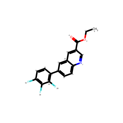 CCOC(=O)c1cnc2ccc(-c3ccc(F)c(F)c3F)cc2c1